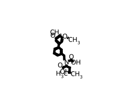 COc1cc(OC)cc(-c2cccc(CCN(C(=O)O)C(CC(C)C)C(=O)O)c2)c1